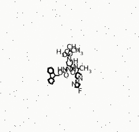 CC(NC(=O)C1(NNC(=O)OCC2c3ccccc3-c3ccccc32)CCN(C(=O)OC(C)(C)C)CC1)c1ccc(-n2cc(F)cn2)nc1